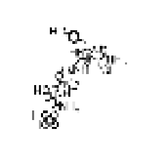 NC(=O)[C@H](CO)NC(=O)[C@H](Cc1ccc(O)cc1)NC(=O)CNC(=O)[C@@H]1CCCN1C(=O)[C@H](CO)NC(=O)[C@@H](N)COP(=O)(O)O